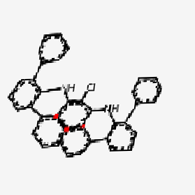 Clc1c(Nc2c(-c3ccccc3)cccc2-c2ccccc2)cccc1Nc1c(-c2ccccc2)cccc1-c1ccccc1